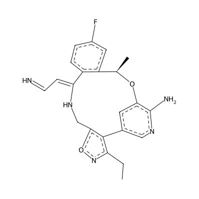 CCc1noc2c1-c1cnc(N)c(c1)O[C@H](C)c1cc(F)ccc1/C(=C/C=N)NC2